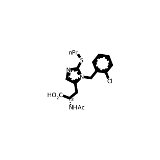 CCCSc1ncc(C[C@H](NC(C)=O)C(=O)O)n1Cc1ccccc1Cl